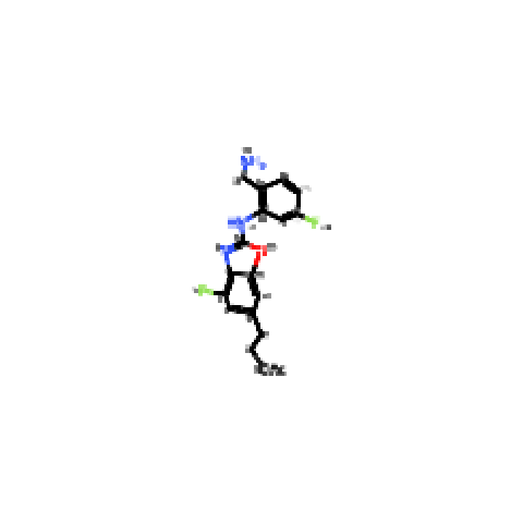 CC(=O)OCCc1cc(F)c2nc(Nc3cc(F)ccc3CN)oc2c1